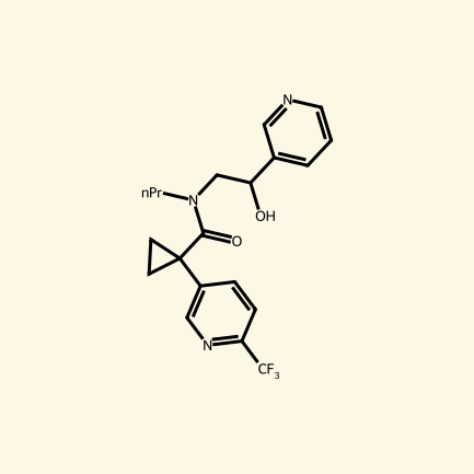 CCCN(CC(O)c1cccnc1)C(=O)C1(c2ccc(C(F)(F)F)nc2)CC1